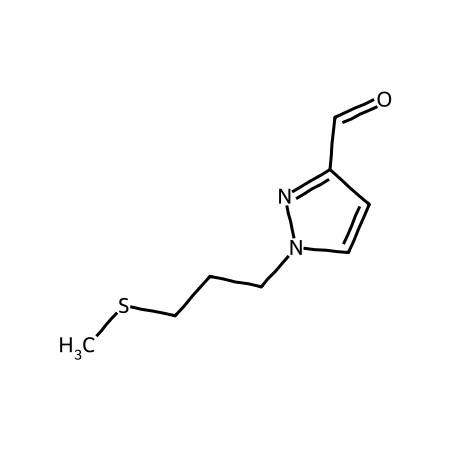 CSCCCn1ccc(C=O)n1